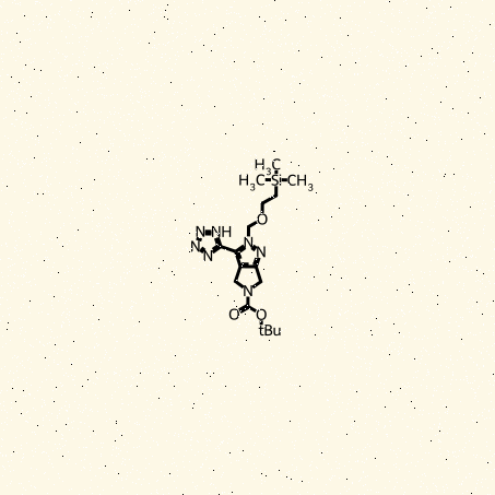 CC(C)(C)OC(=O)N1Cc2nn(COCC[Si](C)(C)C)c(-c3nnn[nH]3)c2C1